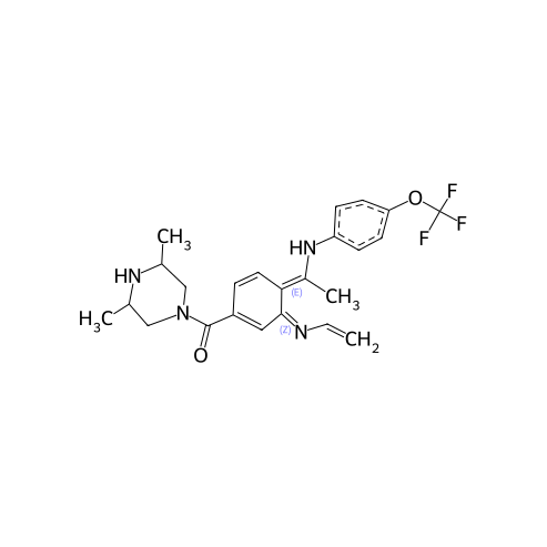 C=C/N=C1/C=C(C(=O)N2CC(C)NC(C)C2)C=C/C1=C(/C)Nc1ccc(OC(F)(F)F)cc1